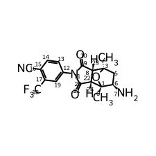 C[C@@]12O[C@](C)(C[C@H]1N)[C@H]1C(=O)N(c3ccc(C#N)c(C(F)(F)F)c3)C(=O)[C@H]12